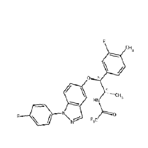 Cc1ccc([C@H](Oc2ccc3c(cnn3-c3ccc(F)cc3)c2)[C@H](C)NC(=O)C(F)(F)F)cc1F